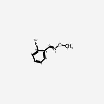 CO/N=C/c1ccccc1F